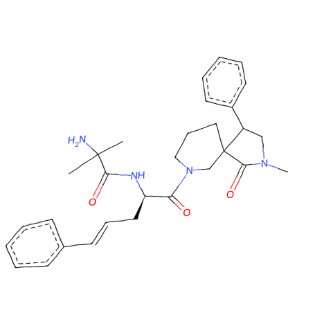 CN1CC(c2ccccc2)C2(CCCN(C(=O)[C@@H](CC=Cc3ccccc3)NC(=O)C(C)(C)N)C2)C1=O